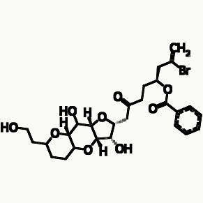 C=C(Br)C[C@H](CCC(=O)C[C@H]1O[C@H]2C(O)[C@H]3OC(CCO)CCC3O[C@H]2[C@H]1O)OC(=O)c1ccccc1